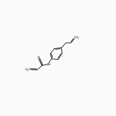 C=CCc1ccc(NC(=O)C=C)cc1